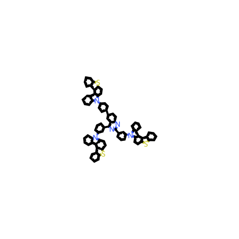 c1cc(-c2nc(-c3cccc(-n4c5ccccc5c5c6c(ccc54)sc4ccccc46)c3)c3cc(-c4ccc(-n5c6ccccc6c6c7c(ccc65)sc5ccccc57)cc4)ccc3n2)cc(-n2c3ccccc3c3c4c(ccc32)sc2ccccc24)c1